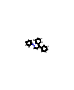 [c]1ccc(N2C=CC(c3ccccc3)=C3CC=CC=C32)cc1